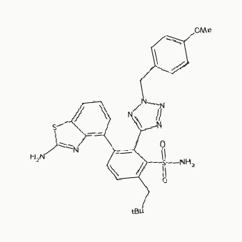 COc1ccc(Cn2nnc(-c3c(-c4cccc5sc(N)nc45)ccc(CC(C)(C)C)c3S(N)(=O)=O)n2)cc1